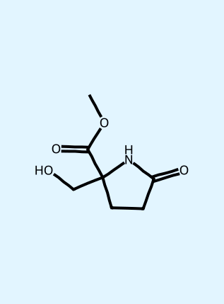 COC(=O)C1(CO)CCC(=O)N1